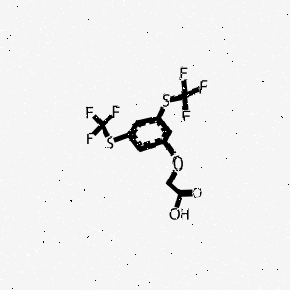 O=C(O)COc1cc(SC(F)(F)F)cc(SC(F)(F)F)c1